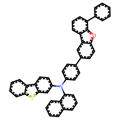 c1ccc(-c2cccc3c2oc2ccc(-c4ccc(N(c5ccc6c(c5)sc5ccccc56)c5cccc6ccccc56)cc4)cc23)cc1